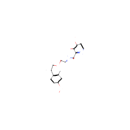 COc1ccc([C@@H](C)[C@@H](C)OC(=O)CNC(=O)c2nccc(OC)c2O)c(C)c1